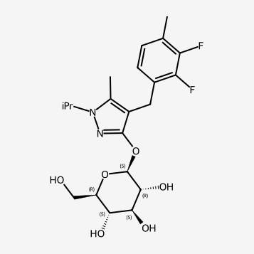 Cc1ccc(Cc2c(O[C@@H]3O[C@H](CO)[C@@H](O)[C@H](O)[C@H]3O)nn(C(C)C)c2C)c(F)c1F